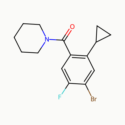 O=C(c1cc(F)c(Br)cc1C1CC1)N1CCCCC1